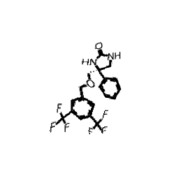 O=C1NC[C@@](COCc2cc(C(F)(F)F)cc(C(F)(F)F)c2)(c2ccccc2)N1